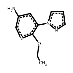 CCOc1ncc(N)cc1-n1cccn1